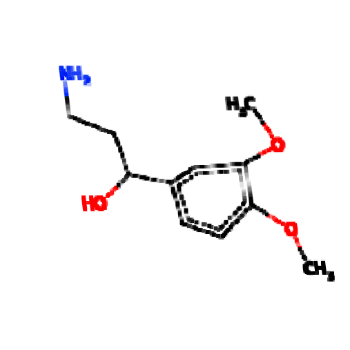 COc1ccc(C(O)CCN)cc1OC